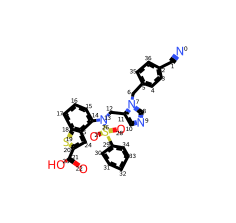 N#Cc1ccc(Cn2cncc2CN(c2cccc3sc(C(=O)O)cc23)S(=O)(=O)c2ccccc2)cc1